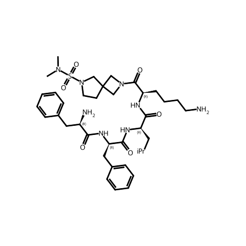 CC(C)C[C@@H](NC(=O)[C@@H](Cc1ccccc1)NC(=O)[C@H](N)Cc1ccccc1)C(=O)N[C@H](CCCCN)C(=O)N1CC2(CCN(S(=O)(=O)N(C)C)C2)C1